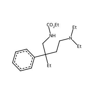 CCOC(=O)NCC(CC)(CCN(CC)CC)c1ccccc1